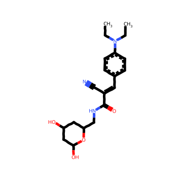 CCN(CC)c1ccc(/C=C(\C#N)C(=O)NCC2CC(O)CC(O)O2)cc1